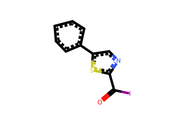 O=C(I)c1ncc(-c2ccccc2)s1